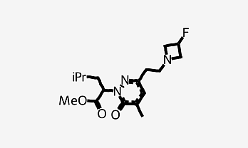 COC(=O)C(CC(C)C)n1nc(CCN2CC(F)C2)cc(C)c1=O